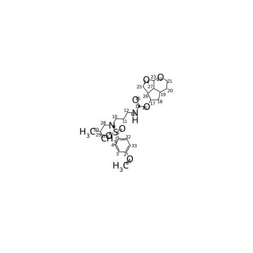 COc1ccc(S(=O)(=O)N(CCCNC(=O)OC2CC3CCOC4OCC2C34)CC(C)C)cc1